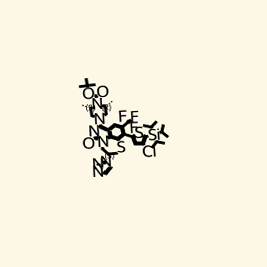 CC(C)[Si](c1sc(-c2c(C(F)(F)F)cc3c(N4C[C@@H](C)N(C(=O)OC(C)(C)C)[C@@H](C)C4)nc(=O)n4c3c2SC[C@@H](n2ccnn2)C4)cc1Cl)(C(C)C)C(C)C